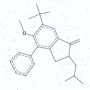 C=C1c2cc(C(C)(C)C)c(OC)c(-c3ccccc3)c2CC1CC(C)C